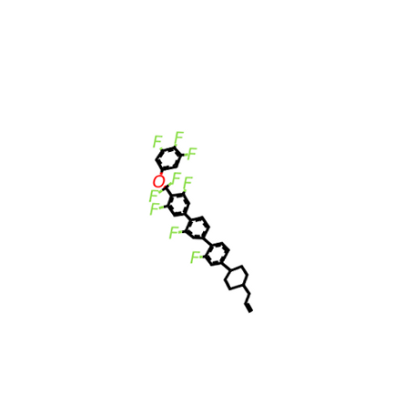 C=CCC1CCC(c2ccc(-c3ccc(-c4cc(F)c(C(F)(F)Oc5cc(F)c(F)c(F)c5)c(F)c4)c(F)c3)c(F)c2)CC1